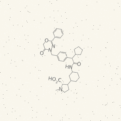 CN1CCC(C2CCCC(NC(=O)C(c3ccc(CN4N=C(c5ccccc5)OCC4=O)cc3)C3CCCC3)C2)[C@H]1C(=O)O